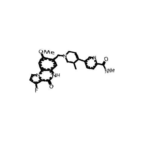 CNC(=O)c1ccc(C2=CCN(Cc3cc4[nH]c(=O)c5c(F)ccn5c4cc3OC)CC2C)cn1